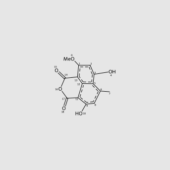 COc1cc(O)c2c(C)cc(O)c3c2c1C(=O)OC3=O